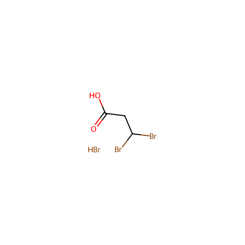 Br.O=C(O)CC(Br)Br